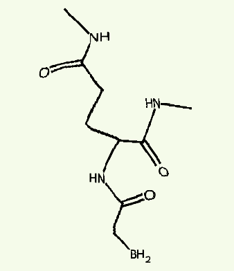 BCC(=O)NC(CCC(=O)NC)C(=O)NC